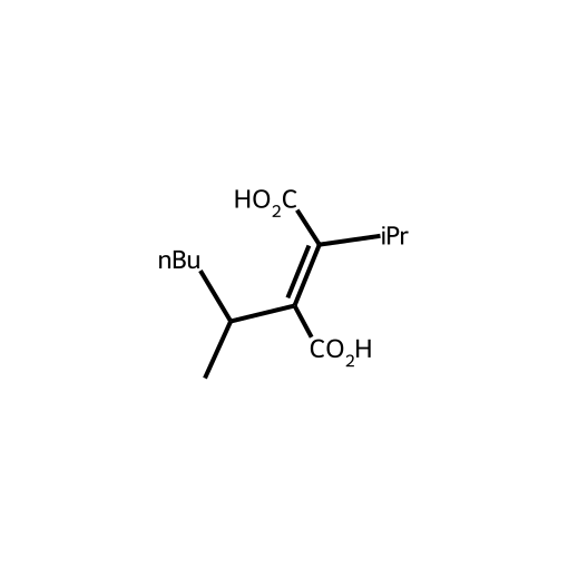 CCCCC(C)/C(C(=O)O)=C(\C(=O)O)C(C)C